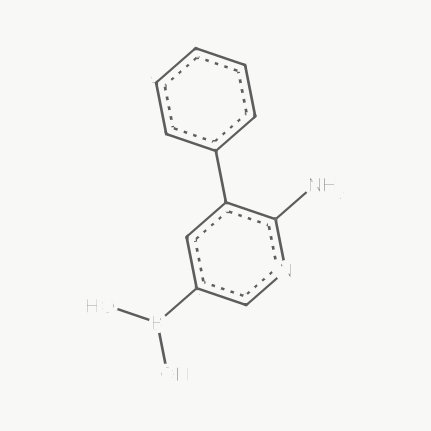 Nc1ncc(B(O)O)cc1-c1ccccc1